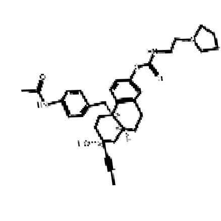 CC#C[C@@]1(O)CC[C@]2(Cc3ccc(NC(C)=O)cc3)c3ccc(OC(=O)NCCN4CCCC4)cc3CC[C@H]2C1